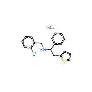 Cl.Clc1ccccc1CNC(Cc1cccs1)c1ccccc1